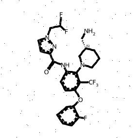 NC[C@@H]1CCCN(c2c(NC(=O)c3ccn(CC(F)F)n3)ccc(Oc3ccccc3F)c2C(F)(F)F)C1